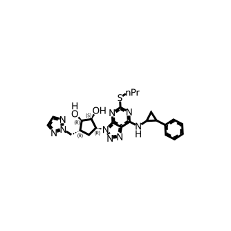 CCCSc1nc(NC2CC2c2ccccc2)c2nnn([C@@H]3C[C@H](Cn4nccn4)[C@@H](O)[C@H]3O)c2n1